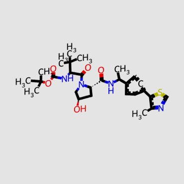 Cc1ncsc1-c1ccc(C(C)NC(=O)[C@@H]2C[C@@H](O)CN2C(=O)C(NC(=O)OC(C)(C)C)C(C)(C)C)cc1